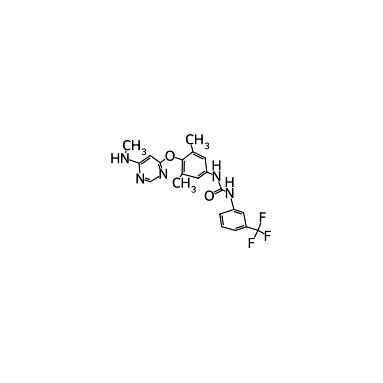 CNc1cc(Oc2c(C)cc(NC(=O)Nc3cccc(C(F)(F)F)c3)cc2C)ncn1